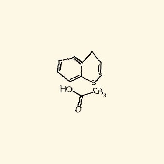 C1=CSc2ccccc2C1.CC(=O)O